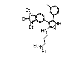 CCN(CC)CCCNc1n[nH]c(-c2cccc(C)c2)c1-c1ccc2c(c1)n(CC)c(=O)n2CC